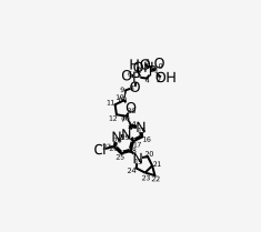 O=P(O)(O)CP(=O)(O)OC[C@@H]1CC[C@H](c2ncc3c(N4CC5CC5C4)cc(Cl)nn23)O1